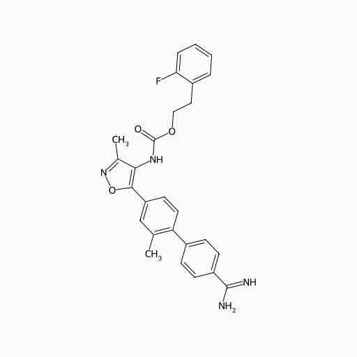 Cc1cc(-c2onc(C)c2NC(=O)OCCc2ccccc2F)ccc1-c1ccc(C(=N)N)cc1